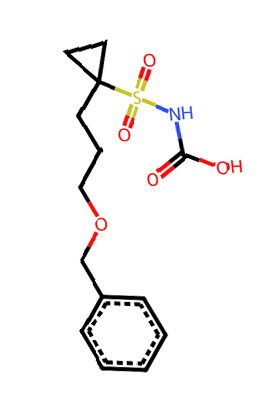 O=C(O)NS(=O)(=O)C1(CCCOCc2ccccc2)CC1